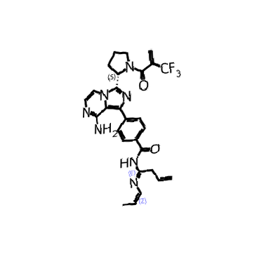 C=CC/C(=N\C=C/C)NC(=O)c1ccc(-c2nc([C@@H]3CCCN3C(=O)C(=C)C(F)(F)F)n3ccnc(N)c23)cc1